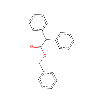 O=C(OCc1ccccc1)[C](c1ccccc1)c1ccccc1